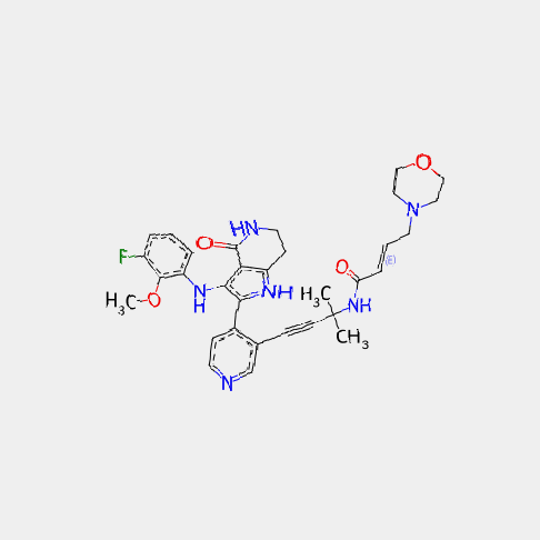 COc1c(F)cccc1Nc1c(-c2ccncc2C#CC(C)(C)NC(=O)/C=C/CN2CCOCC2)[nH]c2c1C(=O)NCC2